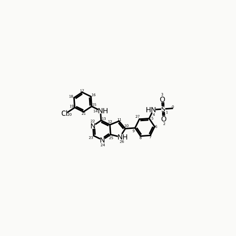 CS(=O)(=O)Nc1cccc(-c2cc3c(Nc4cccc(Cl)c4)ncnc3[nH]2)c1